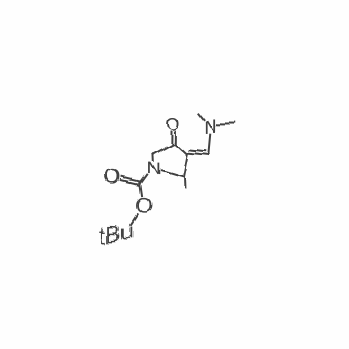 CC1C(=CN(C)C)C(=O)CN1C(=O)OC(C)(C)C